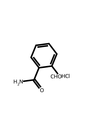 Cl.NC(=O)c1ccccc1C=O